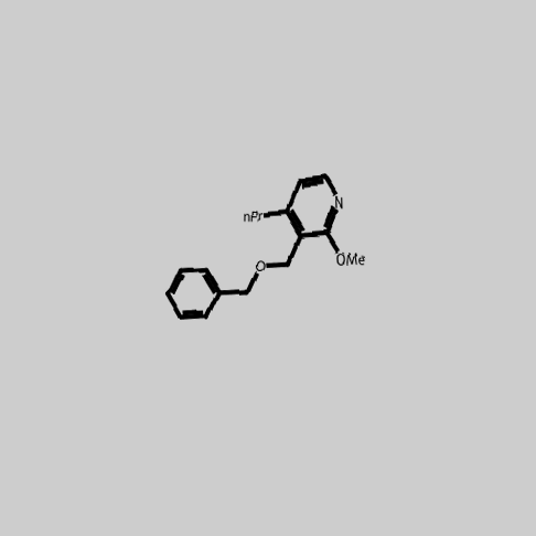 CCCc1ccnc(OC)c1COCc1ccccc1